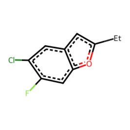 CCc1cc2cc(Cl)c(F)cc2o1